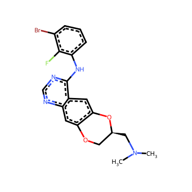 CN(C)C[C@H]1COc2cc3ncnc(Nc4cccc(Br)c4F)c3cc2O1